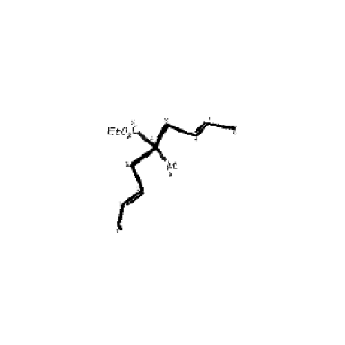 C/C=C/CC(C/C=C/C)(C(C)=O)C(=O)OCC